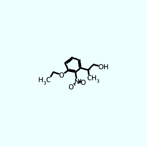 CCOc1cccc([C](C)CO)c1[N+](=O)[O-]